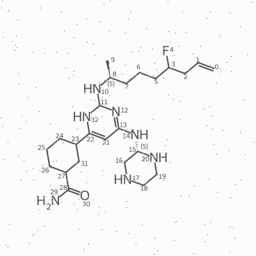 C=CCC(F)CCC[C@H](C)NC1N=C(N[C@H]2CNCCN2)C=C(C2CCCC(C(N)=O)C2)N1